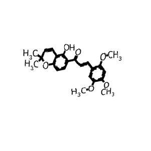 COc1cc(OC)c(OC)cc1/C=C/C(=O)c1ccc2c(c1O)C=CC(C)(C)O2